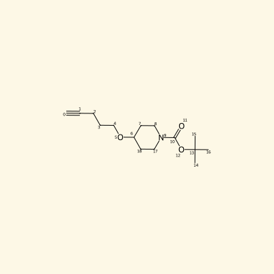 C#CCCCOC1CCN(C(=O)OC(C)(C)C)CC1